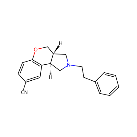 N#Cc1ccc2c(c1)[C@@H]1CN(CCc3ccccc3)C[C@H]1CO2